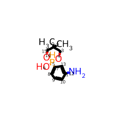 CC1(C)CO[PH](O)(c2cccc(N)c2)OC1